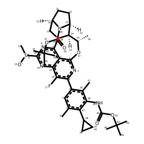 Cc1cc(-c2nc3c4c(nc([S+](C)[O-])nc4c2F)N2C[C@H]4CC[C@@H]([C@H]2[C@H](C)O3)N4C(=O)OC(C)(C)C)c(C)c(NC(=O)OC(C)(C)C)c1C1CC1